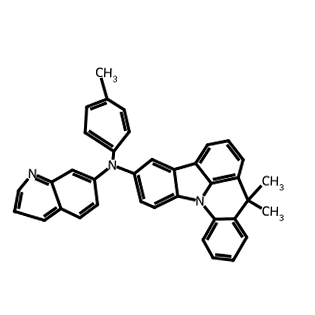 Cc1ccc(N(c2ccc3cccnc3c2)c2ccc3c(c2)c2cccc4c2n3-c2ccccc2C4(C)C)cc1